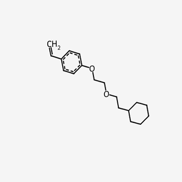 C=Cc1ccc(OCCOCCC2CCCCC2)cc1